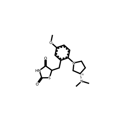 COc1ccc(N2CC[C@H](N(C)C)C2)c(CC2SC(=O)NC2=O)c1